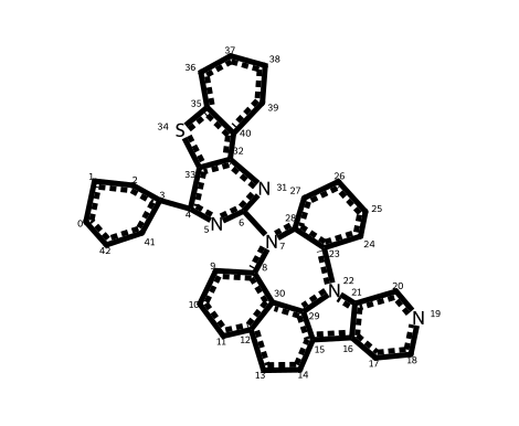 c1ccc(-c2nc(-n3c4cccc5ccc6c7ccncc7n(c7ccccc73)c6c54)nc3c2sc2ccccc23)cc1